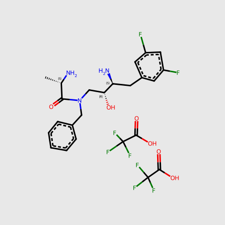 C[C@H](N)C(=O)N(Cc1ccccc1)C[C@@H](O)[C@@H](N)Cc1cc(F)cc(F)c1.O=C(O)C(F)(F)F.O=C(O)C(F)(F)F